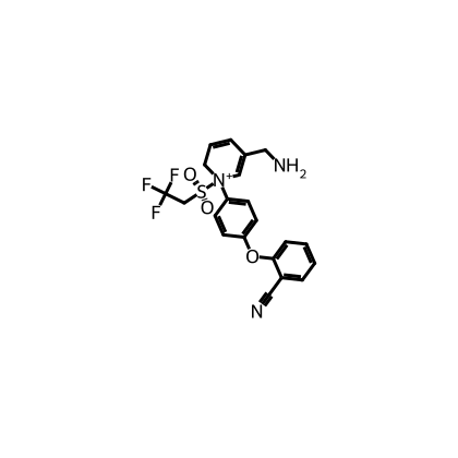 N#Cc1ccccc1Oc1ccc([N+]2(S(=O)(=O)CC(F)(F)F)C=C(CN)C=CC2)cc1